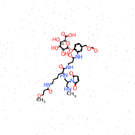 CNCC(CNC(CCCCNC(=O)CCOC)C(=O)NCCC(=O)Nc1cc(COC=O)ccc1O[C@@H]1O[C@H](C(=O)O)[C@@H](O)[C@H](O)[C@H]1O)N1C(=O)C=CC1=O